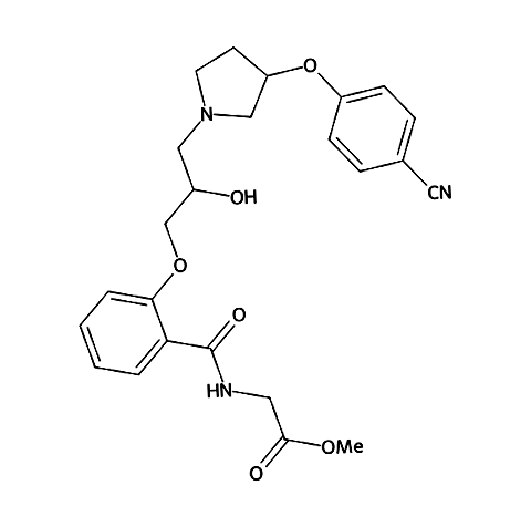 COC(=O)CNC(=O)c1ccccc1OCC(O)CN1CCC(Oc2ccc(C#N)cc2)C1